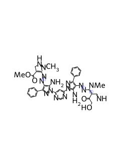 CNC(/N=N/c1c(-c2ccccc2)nn(-c2cc(-n3nc(-c4ccccc4)c(/N=N/C4=C(C(=O)OC)CNN4C)c3N)ncn2)c1N)=C(\C=N)C(=O)CO